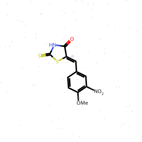 COc1ccc(/C=C2\SC(=S)NC2=O)cc1[N+](=O)[O-]